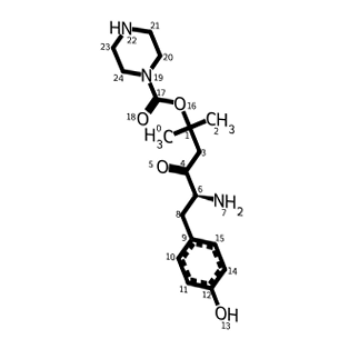 CC(C)(CC(=O)[C@@H](N)Cc1ccc(O)cc1)OC(=O)N1CCNCC1